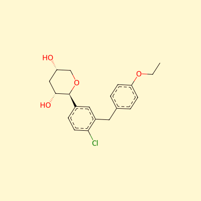 CCOc1ccc(Cc2cc([C@@H]3OC[C@@H](O)C[C@H]3O)ccc2Cl)cc1